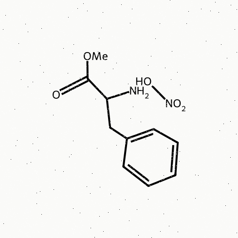 COC(=O)C(N)Cc1ccccc1.O=[N+]([O-])O